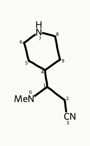 CNC(CC#N)C1CCNCC1